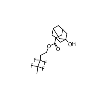 CC(F)(F)C(F)(F)CCOC(=O)C12CC3CC(CC(O)(C3)C1)C2